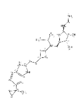 CC(C)N(C[C@H]1O[C@@H](NCN)[C@H](O)[C@@H]1O)C1CC(CCC2Nc3ccc(C4(C)CC4)cc3N2)C1